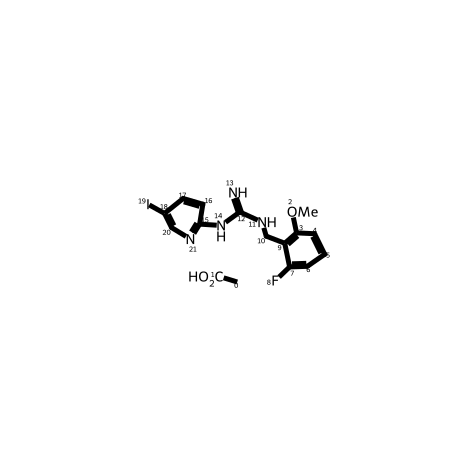 CC(=O)O.COc1cccc(F)c1CNC(=N)Nc1ccc(I)cn1